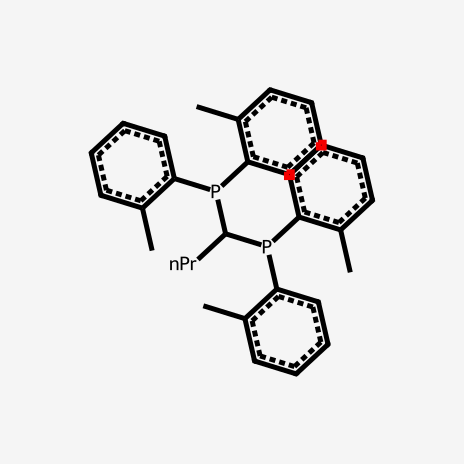 CCCC(P(c1ccccc1C)c1ccccc1C)P(c1ccccc1C)c1ccccc1C